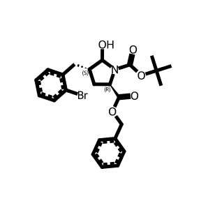 CC(C)(C)OC(=O)N1C(O)[C@@H](Cc2ccccc2Br)C[C@@H]1C(=O)OCc1ccccc1